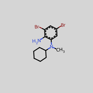 CN(c1cc(Br)cc(Br)c1N)C1CCCCC1